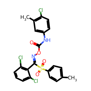 Cc1ccc(S(=O)(=O)C(=NOC(=O)Nc2ccc(Cl)c(C)c2)c2c(Cl)cccc2Cl)cc1